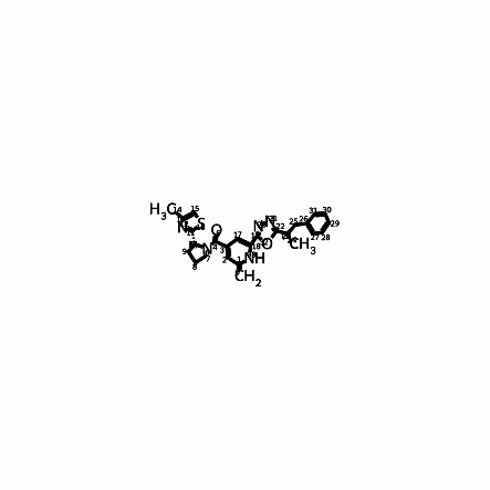 C=C1C=C(C(=O)N2CCC[C@@H]2c2nc(C)cs2)C=C(c2nnc([C@@H](C)Cc3ccccc3)o2)N1